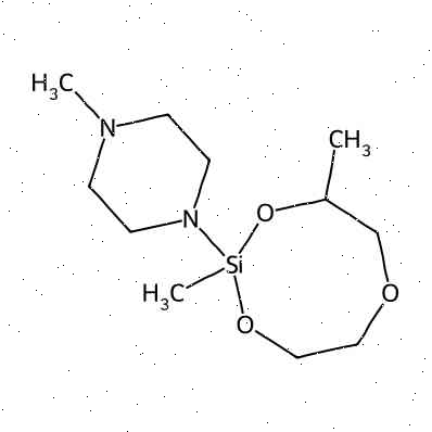 CC1COCCO[Si](C)(N2CCN(C)CC2)O1